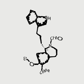 CCOc1cc2c(cc1OC)CCN(C=O)[C@H]2CCCc1c[nH]c2ccccc12